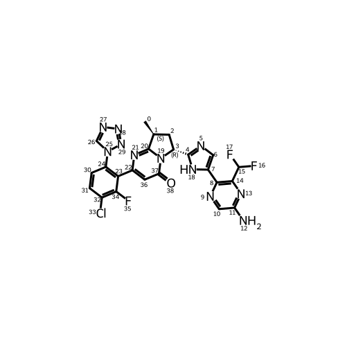 C[C@H]1C[C@H](c2ncc(-c3ncc(N)nc3C(F)F)[nH]2)n2c1nc(-c1c(-n3cnnn3)ccc(Cl)c1F)cc2=O